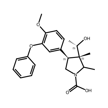 COc1ccc([C@@H]2CN(C(=O)O)C(C)[C@@]2(C)[C@H](C)O)cc1Oc1ccccc1